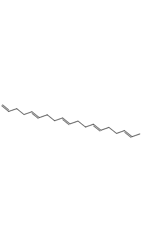 C=CCC/C=C/CC/C=C/CC/C=C/CC/C=C/C